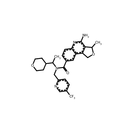 CC1OCc2c1c(N)nc1ccc(C(=O)N(Cc3ccc(C(F)(F)F)cn3)C(C)C3CCOCC3)cc21